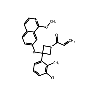 C=CC(=O)N1CC(Nc2ccc3ccnc(OC)c3c2)(c2cccc(Cl)c2C)C1